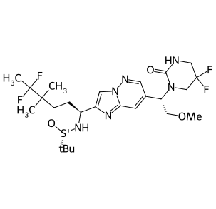 COC[C@H](c1cnn2cc([C@H](CCC(C)(C)C(C)(F)F)N[S@@+]([O-])C(C)(C)C)nc2c1)N1CC(F)(F)CNC1=O